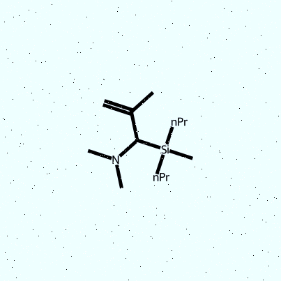 C=C(C)C(N(C)C)[Si](C)(CCC)CCC